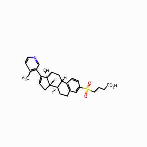 Cc1ccncc1C1=CC[C@H]2[C@@H]3CCc4cc(S(=O)(=O)CCCC(=O)O)ccc4[C@H]3CC[C@]12C